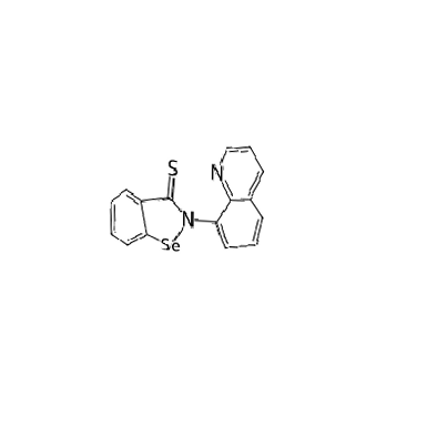 S=c1c2ccccc2[se]n1-c1cccc2cccnc12